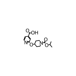 CC(C)OC(=O)N1CCC(Oc2cc(C(=O)O)ccn2)CC1